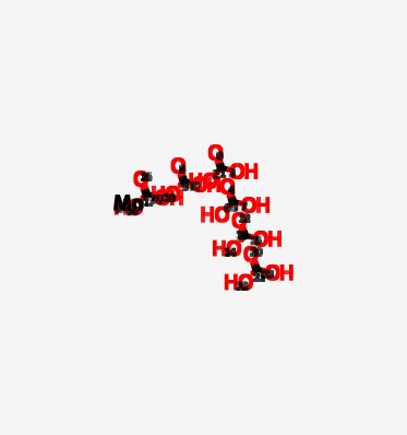 O=C(O)O.O=C(O)O.O=C(O)O.O=C(O)O.O=C(O)O.O=C(O)O.[Mo]